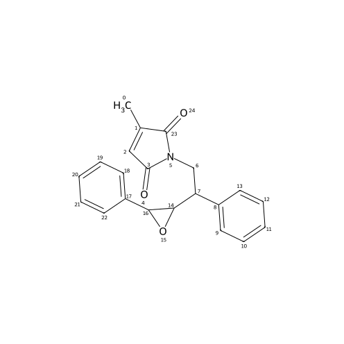 CC1=CC(=O)N(CC(c2ccccc2)C2OC2c2ccccc2)C1=O